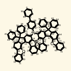 c1ccc(-c2ccc(N(c3cc4c(c5c3oc3ccccc35)-c3c(ccc5c3oc3ccccc35)C4(c3ccccc3)c3ccccc3)c3cc4c(c5c3oc3ccccc35)-c3c(ccc5c3oc3ccccc35)C4(c3ccccc3)c3ccccc3)cc2)cc1